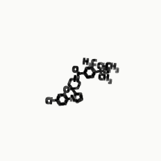 COC(C)(C)c1ccc(C(=O)N2CCC3(CC2)Oc2cc(Cl)ccc2-n2cccc23)cc1C